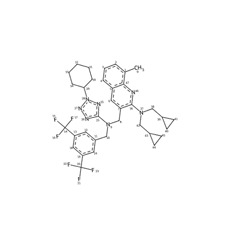 Cc1cccc2cc(CN(Cc3cc(C(F)(F)F)cc(C(F)(F)F)c3)c3nnn(C4CCCCC4)n3)c(N(CC3CC3)CC3CC3)nc12